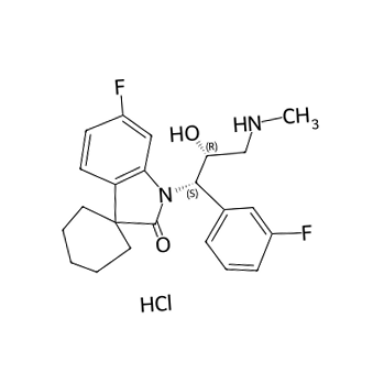 CNC[C@@H](O)[C@H](c1cccc(F)c1)N1C(=O)C2(CCCCC2)c2ccc(F)cc21.Cl